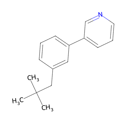 CC(C)(C)Cc1cccc(-c2cccnc2)c1